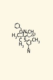 Cc1cc(C#N)cc(Sc2c(CC3CC3)c(C)nc(OCc3ccccc3)c2C(C)C)c1